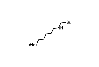 CCCCCCCCCCCNCC(C)CC